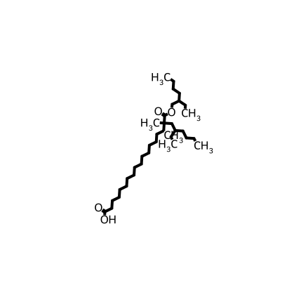 CCCCC(CC)COC(=O)C(C)(CC(CC)CCCC)C(C)CCCCCCCCCCCCCCC(=O)O